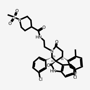 Cc1ccc(F)cc1[C@H]1CC(=O)N(CCNC(=O)C2CCN(S(C)(=O)=O)CC2)[C@@H](c2cccc(Cl)c2)[C@]12C(=O)Nc1cc(Cl)ccc12